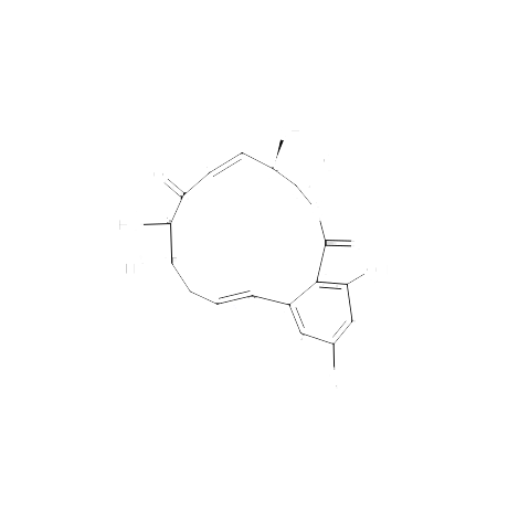 C[C@@H]1/C=C\C(=O)C(O)[C@@H](O)C/C=C/c2cc(O)cc(O)c2C(=O)O[C@H]1C